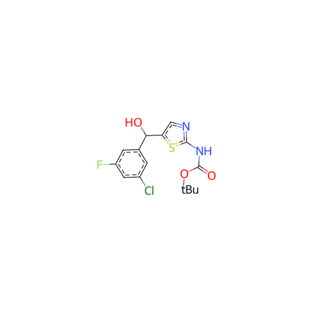 CC(C)(C)OC(=O)Nc1ncc(C(O)c2cc(F)cc(Cl)c2)s1